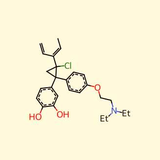 C=C/C(=C\C)C1(Cl)CC1(c1ccc(OCCN(CC)CC)cc1)c1ccc(O)c(O)c1